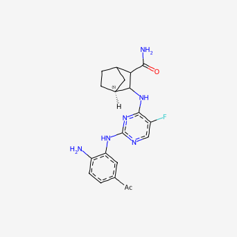 CC(=O)c1ccc(N)c(Nc2ncc(F)c(NC3C(C(N)=O)C4CC[C@H]3C4)n2)c1